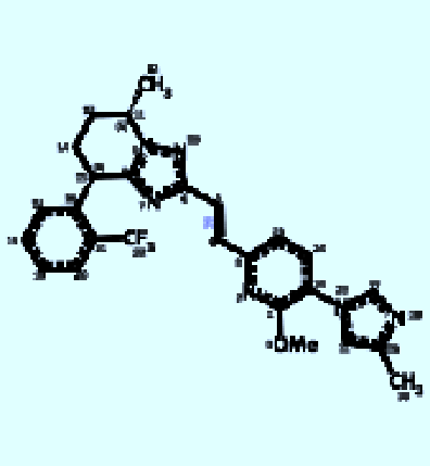 COc1nc(/C=C/c2nc3n(n2)[C@@H](C)CC[C@@H]3c2ccccc2C(F)(F)F)ccc1-n1cnc(C)c1